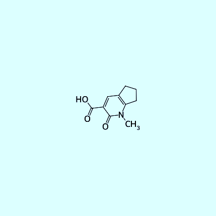 Cn1c2c(cc(C(=O)O)c1=O)CCC2